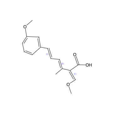 CO\C=C(C(=O)O)/C(C)=C/C=C/c1cccc(OC)c1